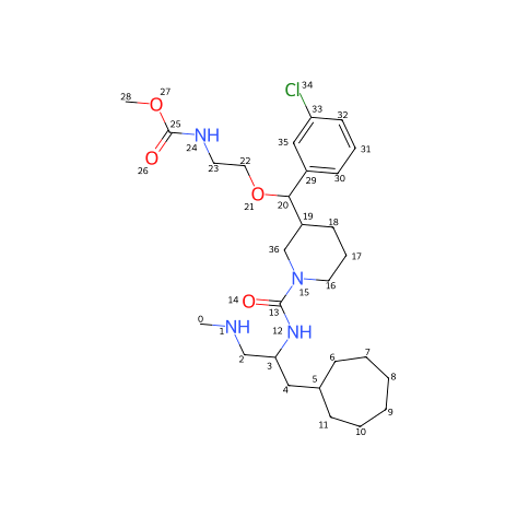 CNCC(CC1CCCCCC1)NC(=O)N1CCCC(C(OCCNC(=O)OC)c2cccc(Cl)c2)C1